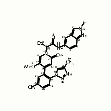 CC[C@@H](C(=O)Nc1ccc2nn(C)cc2c1)n1cc(OC)c(-c2cc(Cl)ccc2-n2cc(C(F)(F)F)nn2)cc1=O